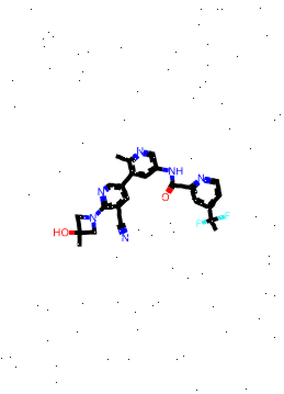 Cc1ncc(NC(=O)c2cc(C(C)(F)F)ccn2)cc1-c1cnc(N2CC(C)(O)C2)c(C#N)c1